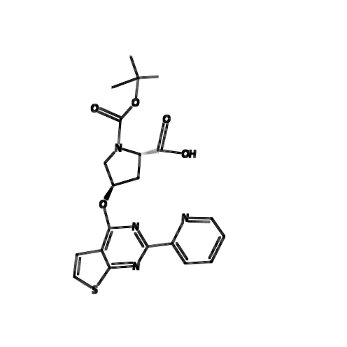 CC(C)(C)OC(=O)N1C[C@H](Oc2nc(-c3ccccn3)nc3sccc23)C[C@H]1C(=O)O